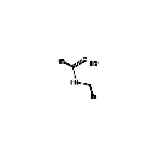 Br.O=C(O)NCBr